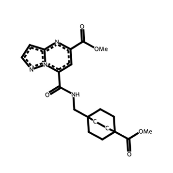 COC(=O)c1cc(C(=O)NCC23CCC(C(=O)OC)(CC2)CC3)n2nccc2n1